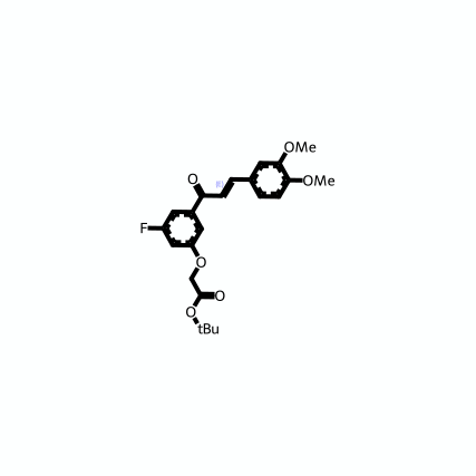 COc1ccc(/C=C/C(=O)c2cc(F)cc(OCC(=O)OC(C)(C)C)c2)cc1OC